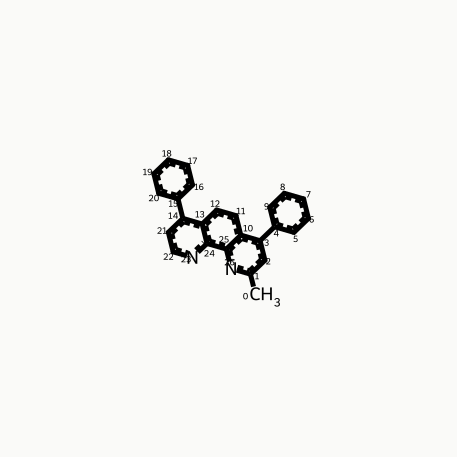 Cc1cc(-c2ccccc2)c2ccc3c(-c4ccccc4)ccnc3c2n1